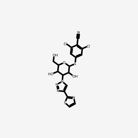 N#Cc1c(Cl)cc(SC2OC(CO)C(O)C(n3cc(-c4nccs4)nn3)C2O)cc1Cl